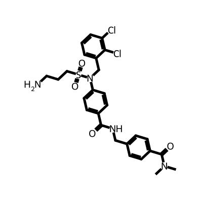 CN(C)C(=O)c1ccc(CNC(=O)c2ccc(N(Cc3cccc(Cl)c3Cl)S(=O)(=O)CCCN)cc2)cc1